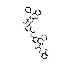 CP(=O)(O)N(CC(=O)Nc1ccccc1Sc1ccccc1)c1cccc(C(=O)Oc2ccc(NC(=O)COc3ccccc3Cl)c(N3CCOCC3)c2)c1